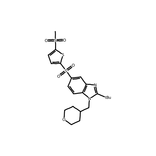 CC(C)(C)c1nc2cc(S(=O)(=O)c3ccc(S(C)(=O)=O)s3)ccc2n1CC1CCOCC1